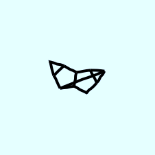 C1C2C1C1C3CC4C(C23)C41